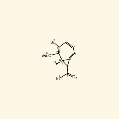 CCC(=O)C1C2=CC=CC(Br)=C(OC)[C@]21C